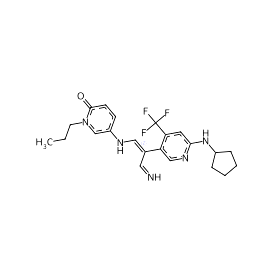 CCCn1cc(N/C=C(\C=N)c2cnc(NC3CCCC3)cc2C(F)(F)F)ccc1=O